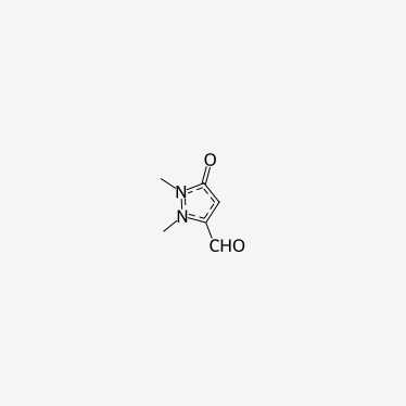 Cn1c(C=O)cc(=O)n1C